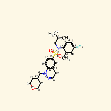 CC(C)CN(C1=CC=C(F)CC1C)S(=O)(=O)c1ccc2c(c1)CC=NN2CC1CCOCC1